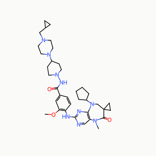 COc1cc(C(=O)NN2CCC(N3CCN(CC4CC4)CC3)CC2)ccc1Nc1ncc2c(n1)N(C1CCCC1)CC1(CC1)C(=O)N2C